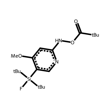 COc1cc(NOC(=O)C(C)(C)C)ncc1[Si](F)(C(C)(C)C)C(C)(C)C